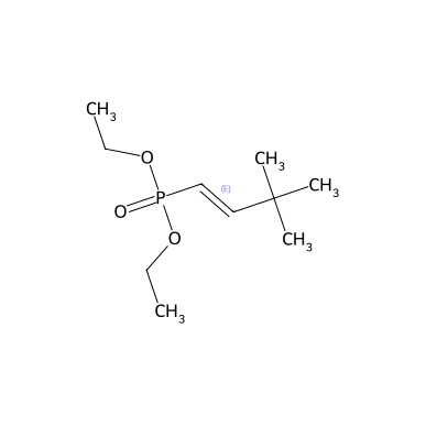 CCOP(=O)(/C=C/C(C)(C)C)OCC